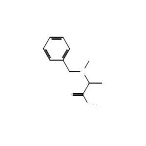 COC(=O)C(C)N(C)Cc1ccccc1